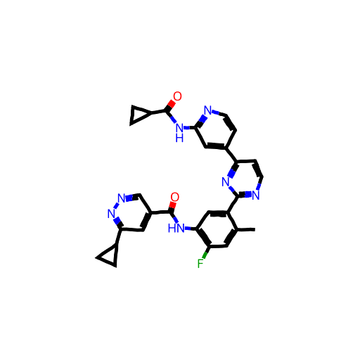 Cc1cc(F)c(NC(=O)c2cnnc(C3CC3)c2)cc1-c1nccc(-c2ccnc(NC(=O)C3CC3)c2)n1